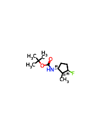 C[C@@H]1[C@H](F)CC[C@H]1NC(=O)OC(C)(C)C